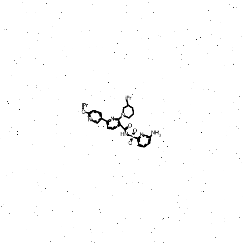 CC(C)Oc1ccc(-c2ccc(C(=O)NS(=O)(=O)c3cccc(N)n3)c(N3CCCC(C(C)C)C3)n2)cn1